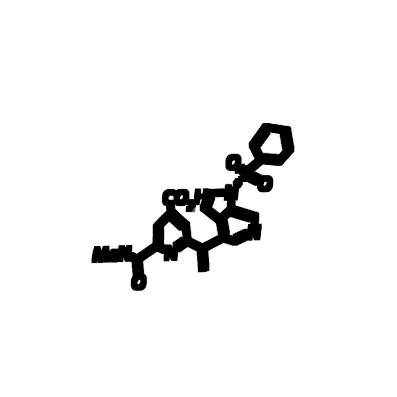 C=C(c1cc(C(=O)O)cc(C(=O)NC)n1)c1cncc2c1ccn2S(=O)(=O)c1ccccc1